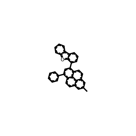 Cc1cc2ccc3c(-c4ccccc4)cc(-c4cccc5c4oc4ccccc45)c4ccc(c1)c2c34